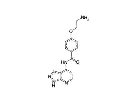 NCCOc1ccc(C(=O)Nc2ccnc3[nH]ncc23)cc1